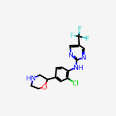 FC(F)(F)c1cnc(Nc2ccc(C3CNCCO3)cc2Cl)nc1